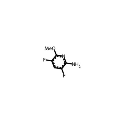 COc1nc(N)c(F)cc1F